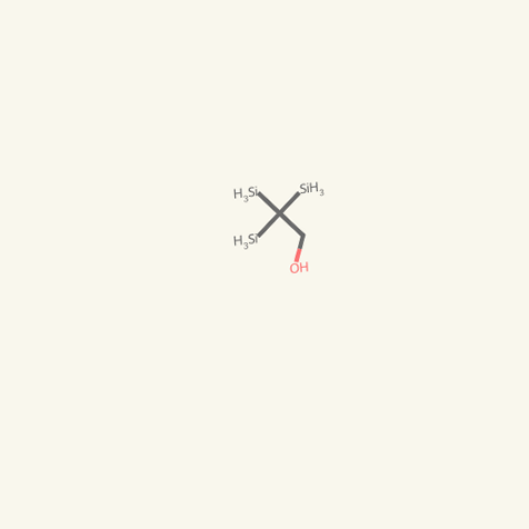 OCC([SiH3])([SiH3])[SiH3]